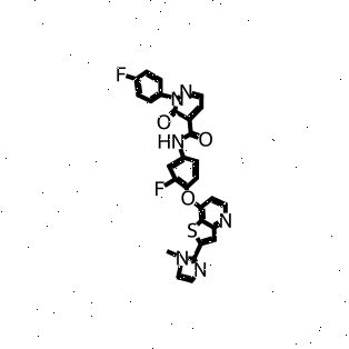 Cn1ccnc1-c1cc2nccc(Oc3ccc(NC(=O)c4ccnn(-c5ccc(F)cc5)c4=O)cc3F)c2s1